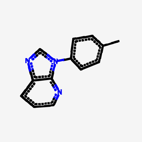 Cc1ccc(-n2cnc3cccnc32)cc1